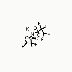 O=S(=O)([N-]S(=O)(=O)C(F)(F)C(F)F)C(F)(F)C(F)F.[K+]